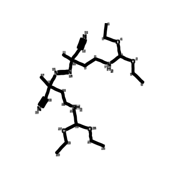 CCOC(OCC)[SiH2]CCC(C)(C#N)N=NC(C)(C#N)CC[SiH2]C(OCC)OCC